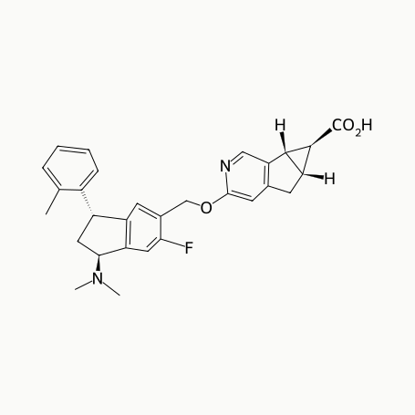 Cc1ccccc1[C@H]1C[C@H](N(C)C)c2cc(F)c(COc3cc4c(cn3)[C@H]3[C@@H](C4)[C@@H]3C(=O)O)cc21